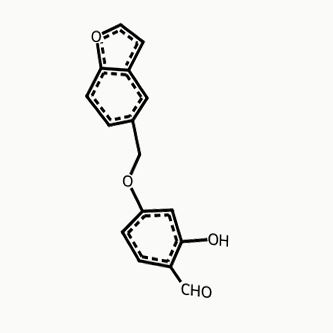 O=Cc1ccc(OCc2ccc3occc3c2)cc1O